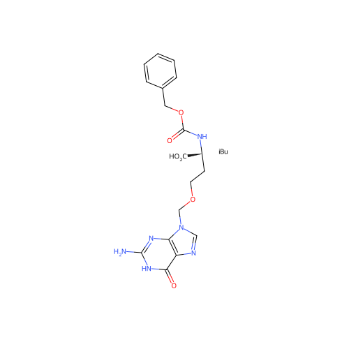 CC[C@H](C)[C@](CCOCn1cnc2c(=O)[nH]c(N)nc21)(NC(=O)OCc1ccccc1)C(=O)O